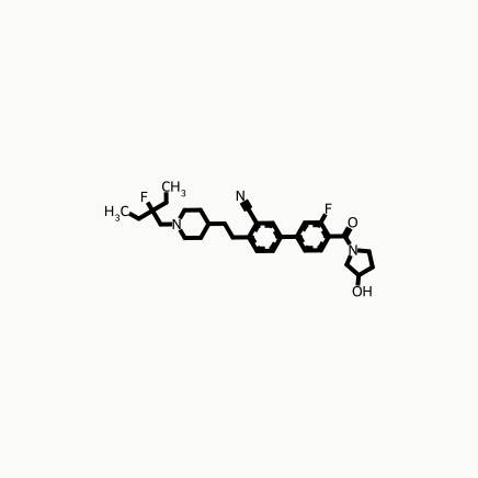 CCC(F)(CC)CN1CCC(CCc2ccc(-c3ccc(C(=O)N4CCC(O)C4)c(F)c3)cc2C#N)CC1